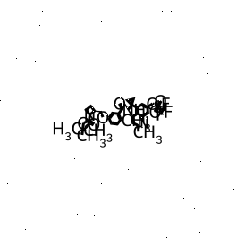 Cc1ccc2c(C3(NC(=O)c4cc(OC[C@@H]5CCN5C(=O)OC(C)(C)C)ccc4C)CC3)cc(OS(=O)(=O)C(F)(F)F)cc2n1